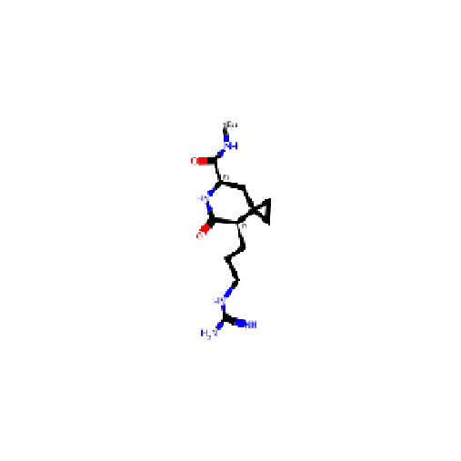 CCCCNC(=O)[C@H]1CC2(CC2)[C@@H](CCCNC(=N)N)C(=O)N1